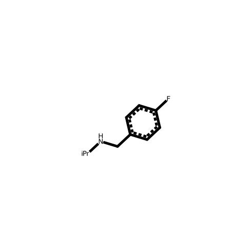 CC(C)NCc1ccc(F)cc1